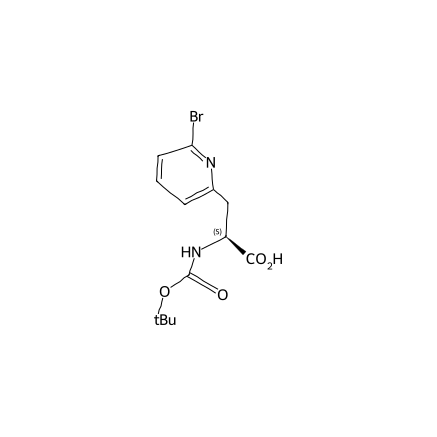 CC(C)(C)OC(=O)N[C@@H](Cc1cccc(Br)n1)C(=O)O